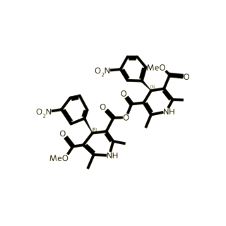 COC(=O)C1=C(C)NC(C)=C(C(=O)OC(=O)C2=C(C)NC(C)=C(C(=O)OC)[C@@H]2c2cccc([N+](=O)[O-])c2)[C@@H]1c1cccc([N+](=O)[O-])c1